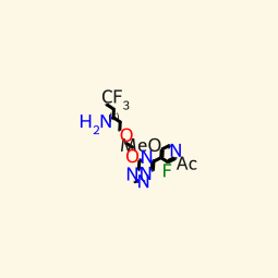 COc1cnc(C(C)=O)c(F)c1-c1cn2ncnc2c(OCCOCC[C@@H](N)CCC(F)(F)F)n1